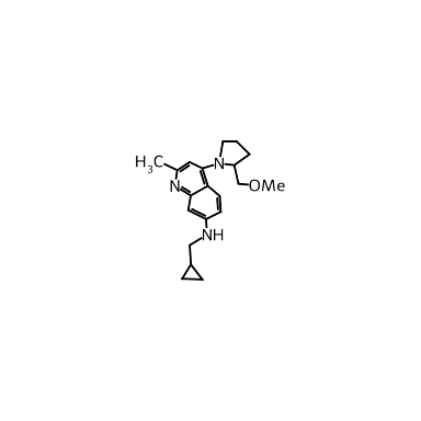 COCC1CCCN1c1cc(C)nc2cc(NCC3CC3)ccc12